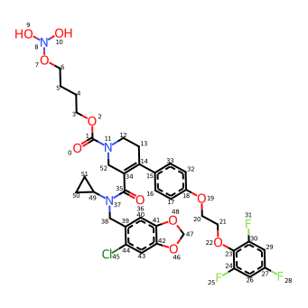 O=C(OCCCCON(O)O)N1CCC(c2ccc(OCCOc3c(F)cc(F)cc3F)cc2)=C(C(=O)N(Cc2cc3c(cc2Cl)OCO3)C2CC2)C1